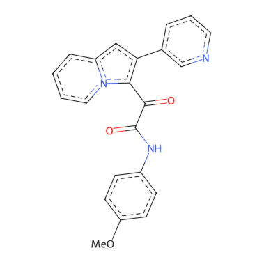 COc1ccc(NC(=O)C(=O)c2c(-c3cccnc3)cc3ccccn23)cc1